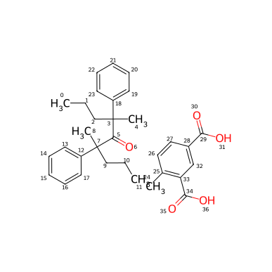 CCCC(C)(C(=O)C(C)(CCC)c1ccccc1)c1ccccc1.Cc1ccc(C(=O)O)cc1C(=O)O